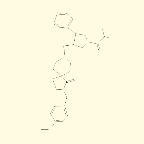 COc1ccc(CN2CCC3(CCN(CC4CN(C(=O)C(C)C)CC4c4ccccc4)CC3)C2=O)cc1.Cl